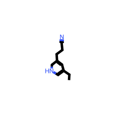 CCC1=CNCC(CCC#N)=C1